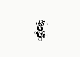 CS(=O)(=O)N1CCC(n2c(=O)cc(Cl)[nH]c2=O)CC1